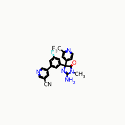 CN1C(=O)C(c2cc(F)cc(-c3cncc(C#N)c3)c2)(c2ccnc(C(F)(F)F)c2)N=C1N